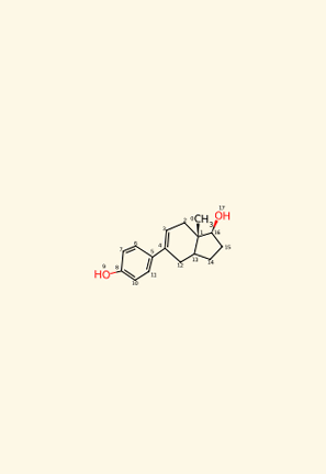 C[C@]12CC=C(c3ccc(O)cc3)CC1CC[C@@H]2O